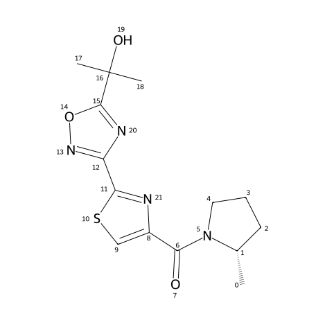 C[C@H]1CCCN1C(=O)c1csc(-c2noc(C(C)(C)O)n2)n1